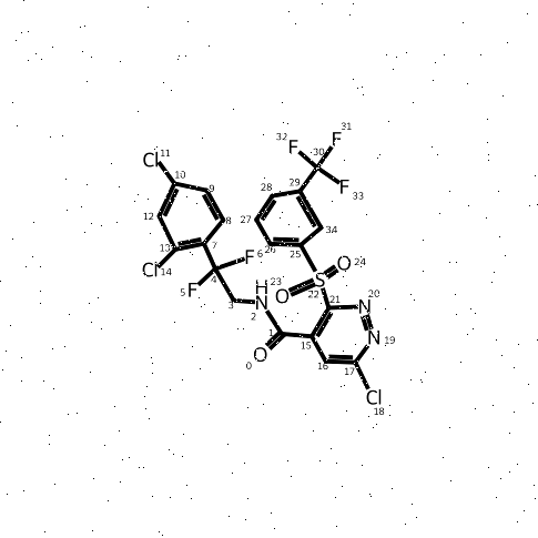 O=C(NCC(F)(F)c1ccc(Cl)cc1Cl)c1cc(Cl)nnc1S(=O)(=O)c1cccc(C(F)(F)F)c1